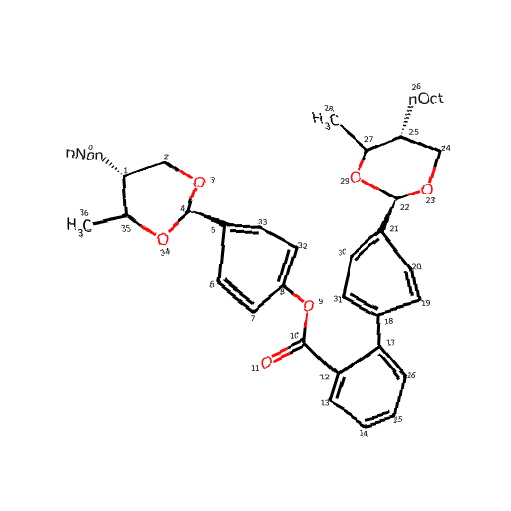 CCCCCCCCC[C@@H]1CO[C@@H](c2ccc(OC(=O)c3ccccc3-c3ccc([C@@H]4OC[C@@H](CCCCCCCC)C(C)O4)cc3)cc2)OC1C